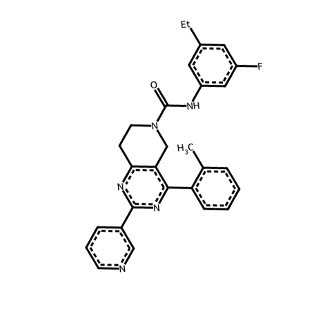 CCc1cc(F)cc(NC(=O)N2CCc3nc(-c4cccnc4)nc(-c4ccccc4C)c3C2)c1